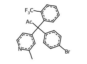 CC(=O)C(c1ccc(Br)cc1)(c1ccnc(C)c1)c1ccccc1C(F)(F)F